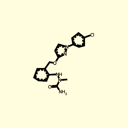 CN(Nc1ccccc1COc1ccn(-c2ccc(Cl)cc2)n1)C(N)=O